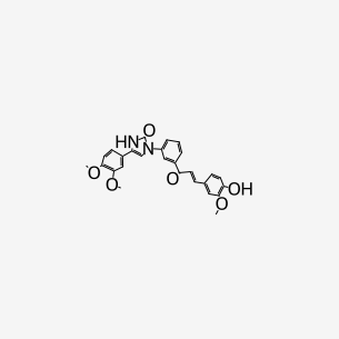 COc1cc(/C=C/C(=O)c2cccc(-n3cc(-c4ccc(OC)c(OC)c4)[nH]c3=O)c2)ccc1O